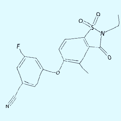 CCN1C(=O)c2c(ccc(Oc3cc(F)cc(C#N)c3)c2C)S1(=O)=O